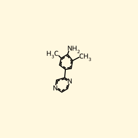 Cc1cc(-c2cnccn2)cc(C)c1N